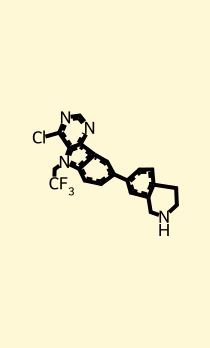 FC(F)(F)Cn1c2ccc(-c3ccc4c(c3)CNCC4)cc2c2ncnc(Cl)c21